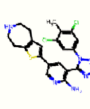 Cc1c(Cl)cc(-n2nnnc2-c2cc(-c3cc4c(s3)CCNCC4)cnc2N)cc1Cl